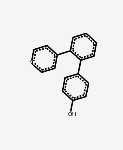 Oc1ccc(-c2ccccc2-c2ccncc2)cc1